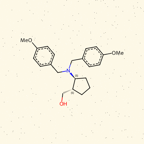 COc1ccc(CN(Cc2ccc(OC)cc2)[C@H]2CCC[C@@H]2CO)cc1